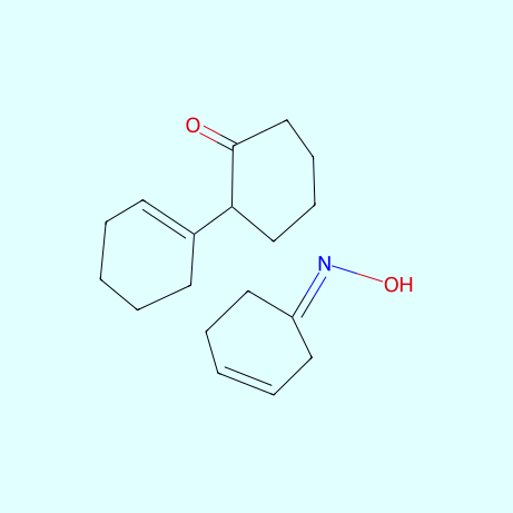 O=C1CCCCC1C1=CCCCC1.ON=C1CC=CCC1